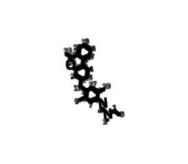 CCN(C)C=Nc1cc(C)c(Cc2ccc(-c3ccccc3C(C)=O)cc2)cc1C